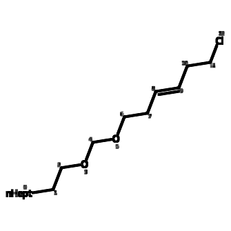 CCCCCCCCCOCOCC/C=C/CCCl